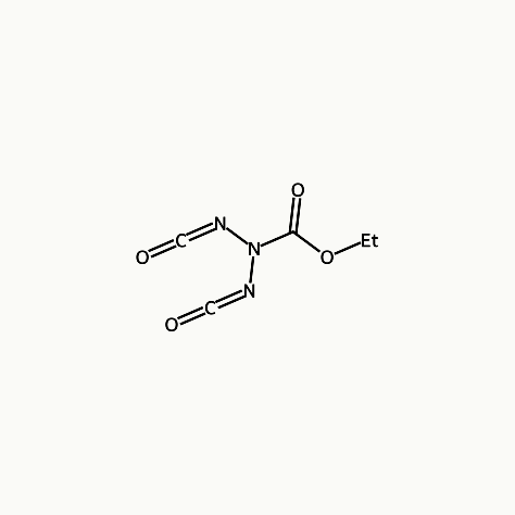 CCOC(=O)N(N=C=O)N=C=O